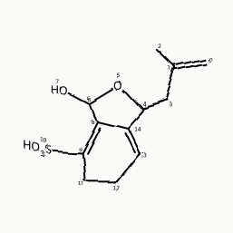 C=C(C)CC1OC(O)C2=C(S(=O)(=O)O)CCC=C21